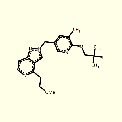 COCCc1nccc2nn(Cc3cnc(OCC(C)(C)F)c(C)c3)cc12